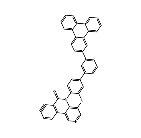 O=c1c2c#cccc2c2cncc3c2n1-c1ccc(-c2cccc(-c4ccc5c6ccccc6c6ccccc6c5c4)c2)cc1S3